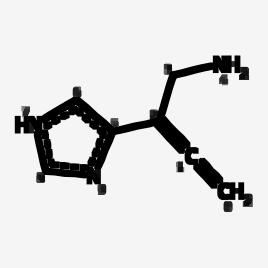 C=C=C(CN)c1c[nH]cn1